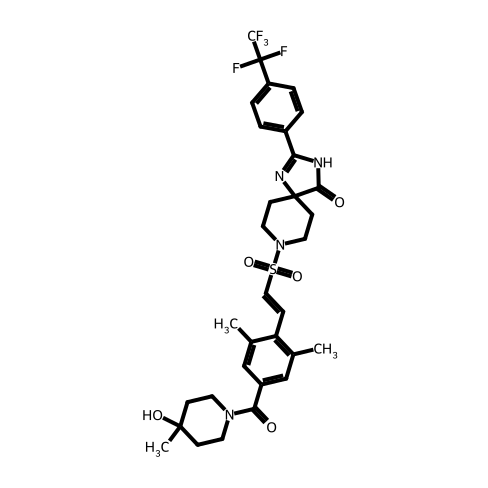 Cc1cc(C(=O)N2CCC(C)(O)CC2)cc(C)c1/C=C/S(=O)(=O)N1CCC2(CC1)N=C(c1ccc(C(F)(F)C(F)(F)F)cc1)NC2=O